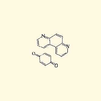 O=C1C=CC(=O)C=C1.c1cnc2ccc3ncccc3c2c1